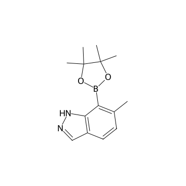 Cc1ccc2cn[nH]c2c1B1OC(C)(C)C(C)(C)O1